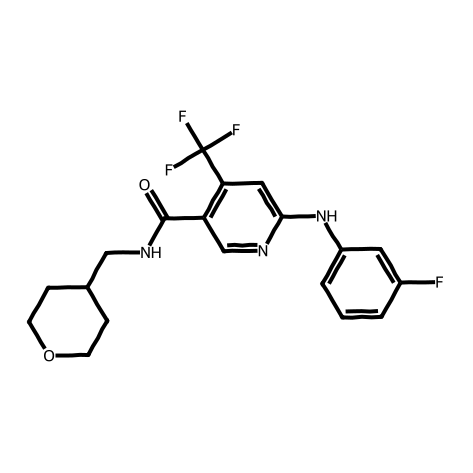 O=C(NCC1CCOCC1)c1cnc(Nc2cccc(F)c2)cc1C(F)(F)F